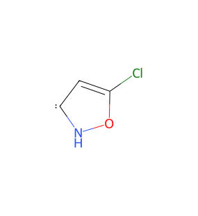 ClC1=C[C]NO1